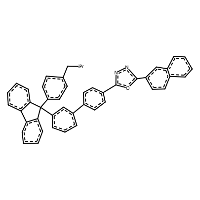 CC(C)Cc1ccc(C2(c3cccc(-c4ccc(-c5nnc(-c6ccc7ccccc7c6)o5)cc4)c3)c3ccccc3-c3ccccc32)cc1